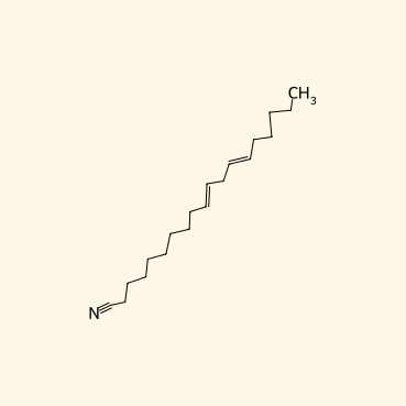 CCCCC/C=C/C/C=C/CCCCCCCCC#N